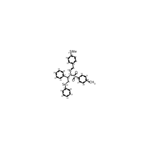 CSc1ccc(C=NN(C(C[Se]c2ccccc2)c2ccccc2)S(=O)(=O)c2ccc(C)cc2)cc1